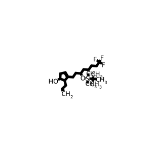 C=CCC1C(CCC(CCCCC(F)(F)F)O[Si](C)(C)C(C)(C)C)=CCC1O